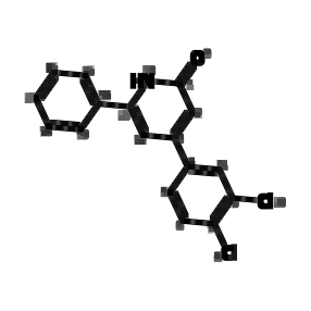 O=c1cc(-c2ccc(Cl)c(Cl)c2)cc(-c2ccccc2)[nH]1